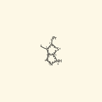 Cc1c(C(C)C)sc2[nH]ncc12